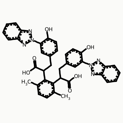 Cc1ccc(C)c(C(Cc2ccc(O)c(-n3nc4ccccc4n3)c2)C(=O)O)c1C(Cc1ccc(O)c(-n2nc3ccccc3n2)c1)C(=O)O